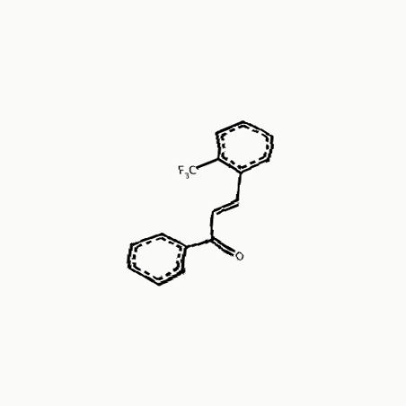 O=C(C=Cc1ccccc1C(F)(F)F)c1ccccc1